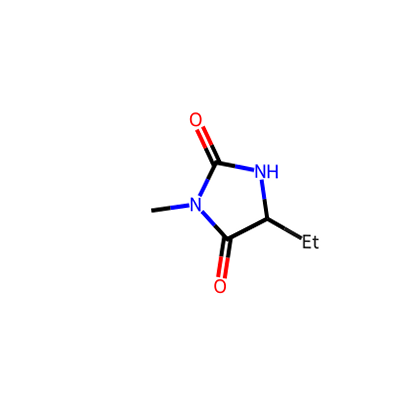 [CH2]CC1NC(=O)N(C)C1=O